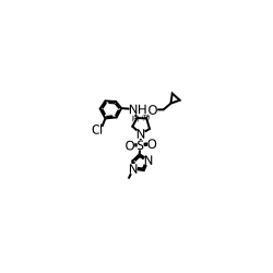 Cn1cnc(S(=O)(=O)N2C[C@@H](Nc3cccc(Cl)c3)[C@H](OCC3CC3)C2)c1